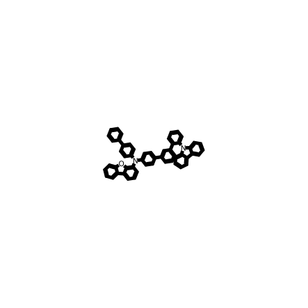 c1ccc(-c2ccc(N(c3ccc(-c4cccc(-c5ccccc5-n5c6ccccc6c6ccccc65)c4)cc3)c3cccc4c3oc3ccccc34)cc2)cc1